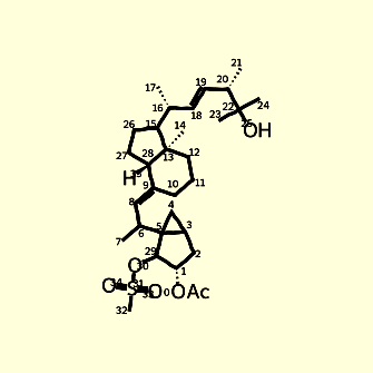 CC(=O)O[C@H]1CC2CC2(C(C)/C=C2\CCC[C@]3(C)C([C@H](C)/C=C/[C@H](C)C(C)(C)O)CC[C@@H]23)C1OS(C)(=O)=O